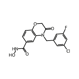 O=C(NO)c1ccc2c(c1)N(Cc1cc(F)cc(Cl)c1)C(=O)CO2